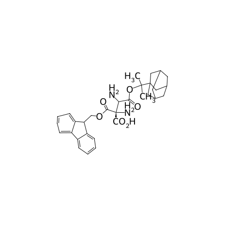 CC(C)(OC(=O)C(N)[C@@](N)(C(=O)O)C(=O)OCC1c2ccccc2-c2ccccc21)C12CC3CC(CC(C3)C1)C2